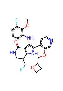 COc1c(F)cccc1Nc1c(-c2ccncc2OCC2CCO2)[nH]c2c1C(=O)NCC2CF